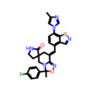 Cc1cn(-c2ccc(/C=C3\CC4(CCNC4=O)CN4C3=NOC4(C)c3ccc(F)cc3)c3cnsc23)cn1